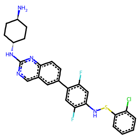 N[C@H]1CC[C@H](Nc2ncc3cc(-c4cc(F)c(NSc5ccccc5Cl)cc4F)ccc3n2)CC1